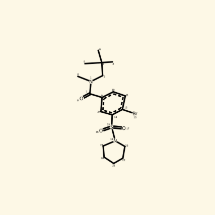 CN(CC(C)(C)C)C(=O)c1ccc(Br)c(S(=O)(=O)N2CCCCC2)c1